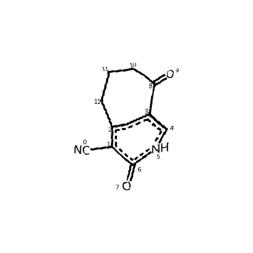 N#Cc1c2c(c[nH]c1=O)C(=O)CCC2